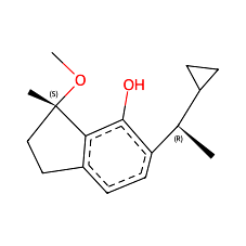 CO[C@@]1(C)CCc2ccc([C@H](C)C3CC3)c(O)c21